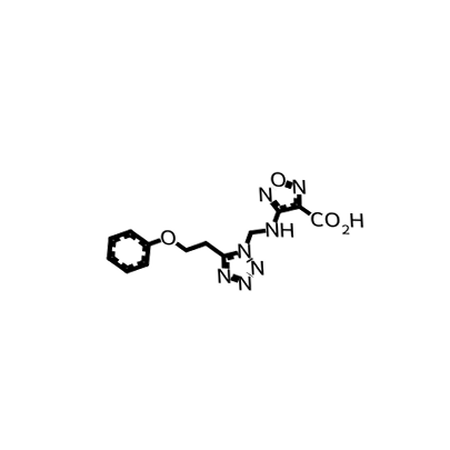 O=C(O)c1nonc1NCn1nnnc1CCOc1ccccc1